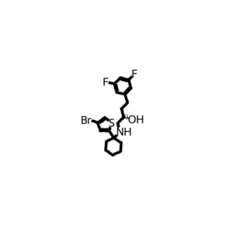 O[C@@H](CCc1cc(F)cc(F)c1)CNC1(c2cc(Br)cs2)CCCCC1